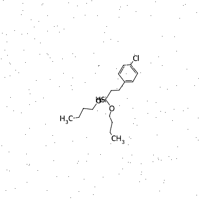 CCCCO[SiH](CCc1ccc(Cl)cc1)OCCCC